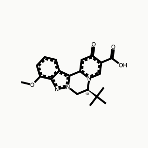 COc1cccc2c3n(nc12)C[C@H](C(C)(C)C)n1cc(C(=O)O)c(=O)cc1-3